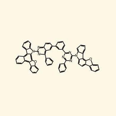 c1ccc(-c2nc(-c3cccc(-c4ccc5nc(-n6c7ccccc7c7c8ccccc8c8c9ccccc9oc8c76)nc(-c6ccccc6)c5c4)c3)nc(-n3c4ccccc4c4c5oc6ccccc6c5ccc43)n2)cc1